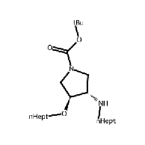 CCCCCCCN[C@H]1CN(C(=O)OC(C)(C)C)C[C@@H]1OCCCCCCC